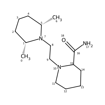 C[C@@H]1CCC[C@H](C)N1CCN1CC[CH]CC1C(N)=O